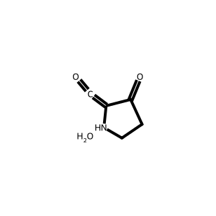 O.O=C=C1NCCC1=O